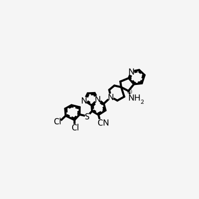 N#Cc1cc(N2CCC3(CC2)Cc2ncccc2[C@H]3N)n2ccnc2c1Sc1cccc(Cl)c1Cl